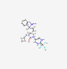 CN(C)C1(c2ccccc2)CCC2(CC1)CN(c1cnc(C(F)(F)F)nc1)C(=O)N2CC1CCC1